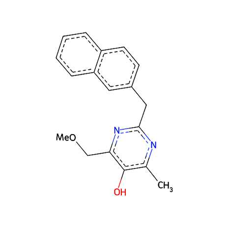 COCc1nc(Cc2ccc3ccccc3c2)nc(C)c1O